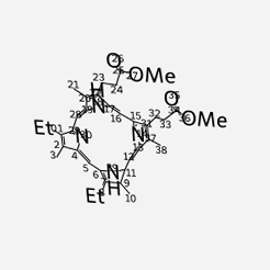 CCC1=C(C)C2=CC3=C(CC)C(C)C(C=C4N=C(C=c5[nH]c(c(C)c5CCC(=O)OC)=CC1=N2)C(CCC(=O)OC)=C4C)N3